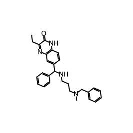 CCc1nc2cc(C(NCCCN(C)Cc3ccccc3)c3ccccc3)ccc2[nH]c1=O